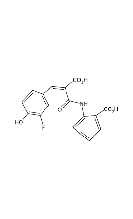 O=C(O)C(=Cc1ccc(O)c(F)c1)C(=O)Nc1ccccc1C(=O)O